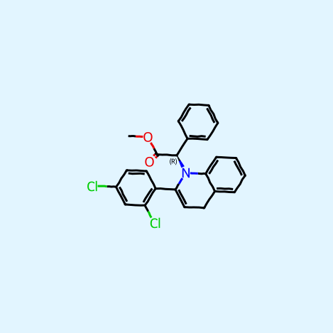 COC(=O)[C@@H](c1ccccc1)N1C(c2ccc(Cl)cc2Cl)=CCc2ccccc21